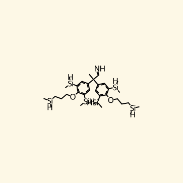 C[SiH](C)CCCOc1c([SiH](C)C)cc(C(C)(C=N)c2cc([SiH](C)C)c(OCCC[SiH](C)C)c([SiH](C)C)c2)cc1[SiH](C)C